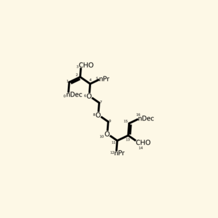 CCCCCCCCCCC=C(C=O)C(CCC)OCOCOC(CCC)C(C=O)=CCCCCCCCCCC